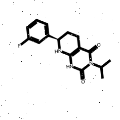 CC(C)n1c(=O)[nH]c2c(c1=O)CC[C@H](c1cccc(F)c1)N2